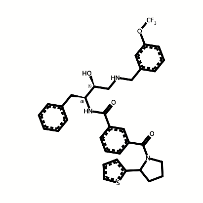 O=C(N[C@@H](Cc1ccccc1)[C@@H](O)CNCc1cccc(OC(F)(F)F)c1)c1cccc(C(=O)N2CCCC2c2cccs2)c1